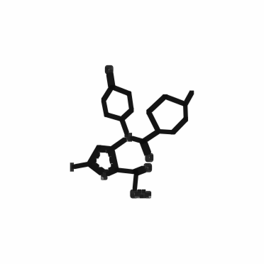 COC(=O)c1sc(I)cc1N(C(=O)C1CCC(C)CC1)C1CCC(=O)CC1